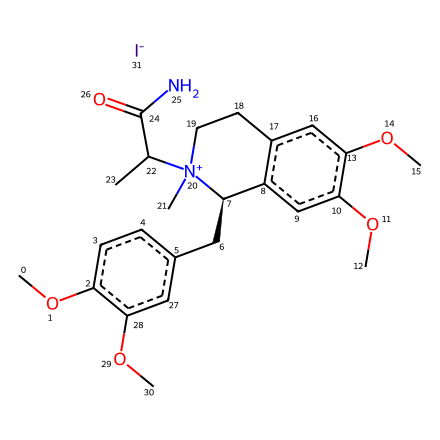 COc1ccc(C[C@@H]2c3cc(OC)c(OC)cc3CC[N+]2(C)C(C)C(N)=O)cc1OC.[I-]